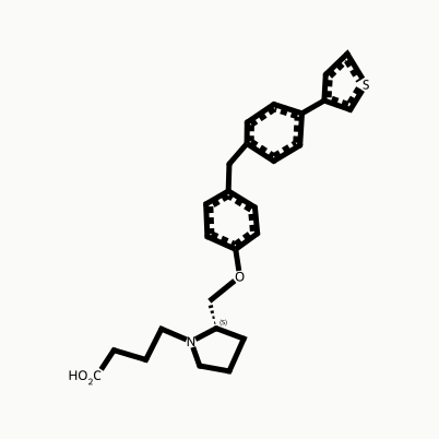 O=C(O)CCCN1CCC[C@H]1COc1ccc(Cc2ccc(-c3ccsc3)cc2)cc1